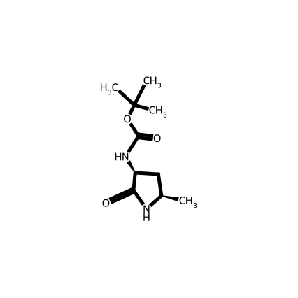 C[C@@H]1C[C@H](NC(=O)OC(C)(C)C)C(=O)N1